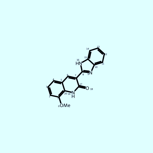 COc1cccc2cc(-c3nc4ccccc4[nH]3)c(=O)[nH]c12